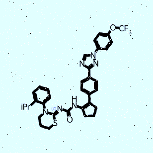 CC(C)c1ccccc1N1CCCS/C1=N\C(=O)NC1=C(c2ccc(-c3ncn(-c4ccc(OC(F)(F)F)cc4)n3)cc2)CCC1